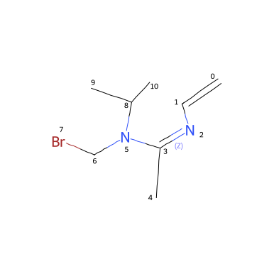 C=C/N=C(/C)N(CBr)C(C)C